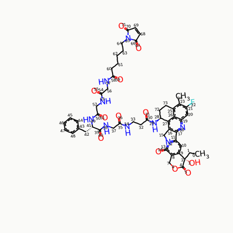 CC[C@@]1(O)C(=O)OCc2c1cc1n(c2=O)Cc2c-1nc1cc(F)c(C)c3c1c2[C@@H](NC(=O)CCNC(=O)CNC(=O)[C@H](Cc1ccccc1)NC(=O)CNC(=O)CNC(=O)CCCCCN1C(=O)C=CC1=O)CC3